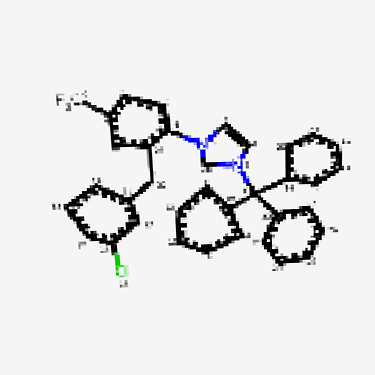 FC(F)(F)c1ccc(N2C=CN(C(c3ccccc3)(c3ccccc3)c3ccccc3)C2)c(Cc2cccc(Cl)c2)c1